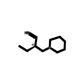 CC[C@@H](C=N)CN1CCCCC1